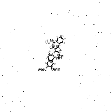 COc1cc2nc(C)nc(NC(C)c3cc(Cl)c(-c4ccccc4CN)s3)c2cc1OC